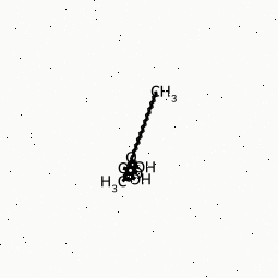 CCCCCCCCCCCCCCCCCCCCCCOc1cc(O)c2c(c1)C(=O)c1cc(C)cc(O)c1C2=O